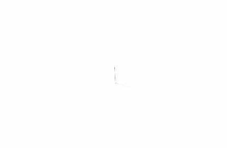 CC(C=O)CO